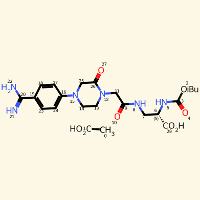 CC(=O)O.CC(C)COC(=O)N[C@@H](CNC(=O)CN1CCN(c2ccc(C(=N)N)cc2)CC1=O)C(=O)O